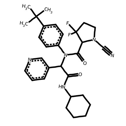 CC(C)(C)c1ccc(N(C(=O)C2N(C#N)CCC2(F)F)C(C(=O)NC2CCCCC2)c2cccnc2)cc1